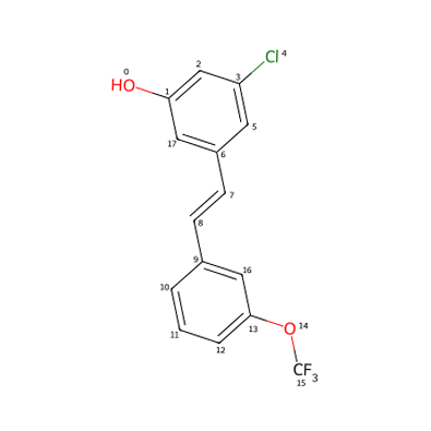 Oc1cc(Cl)cc(/C=C/c2cccc(OC(F)(F)F)c2)c1